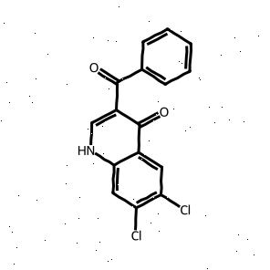 O=C(c1ccccc1)c1c[nH]c2cc(Cl)c(Cl)cc2c1=O